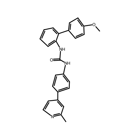 COc1ccc(-c2ccccc2NC(=O)Nc2ccc(-c3ccnc(C)c3)cc2)cc1